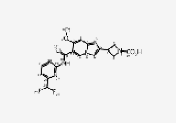 CCOc1cc2nc(C3CN(C(=O)O)C3)cn2cc1C(=O)Nc1cccc(C(F)F)n1